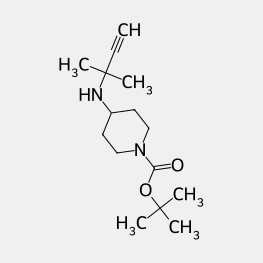 C#CC(C)(C)NC1CCN(C(=O)OC(C)(C)C)CC1